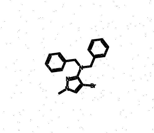 Cn1cc(Br)c(N(Cc2ccccc2)Cc2ccccc2)n1